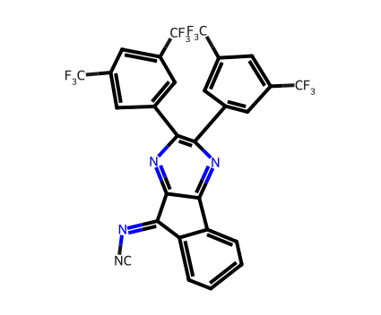 [C-]#[N+]/N=C1\c2ccccc2-c2nc(-c3cc(C(F)(F)F)cc(C(F)(F)F)c3)c(-c3cc(C(F)(F)F)cc(C(F)(F)F)c3)nc21